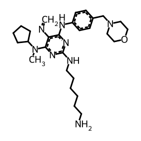 C=Nc1c(Nc2ccc(CN3CCOCC3)cc2)nc(NCCCCCCN)nc1N(C)C1CCCC1